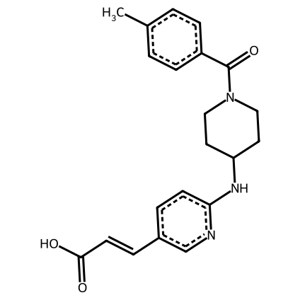 Cc1ccc(C(=O)N2CCC(Nc3ccc(C=CC(=O)O)cn3)CC2)cc1